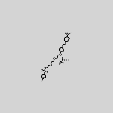 CNc1ccc(C=Cc2ccc(OCCOCCOCCOS(=O)(=O)c3ccc(C)cc3)cc2)cc1.O=C(O)C(F)(F)F